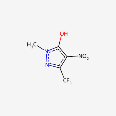 Cn1nc(C(F)(F)F)c([N+](=O)[O-])c1O